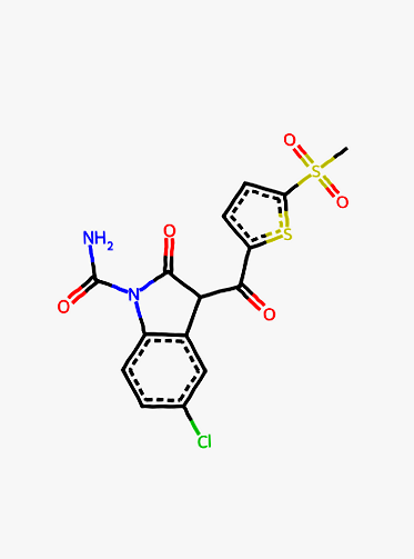 CS(=O)(=O)c1ccc(C(=O)C2C(=O)N(C(N)=O)c3ccc(Cl)cc32)s1